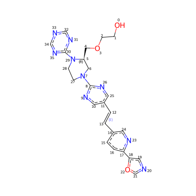 OCCOC[C@H]1CN(c2ncc(/C=C/c3ccc(-c4cnco4)nc3)cn2)CCN1c1ncncn1